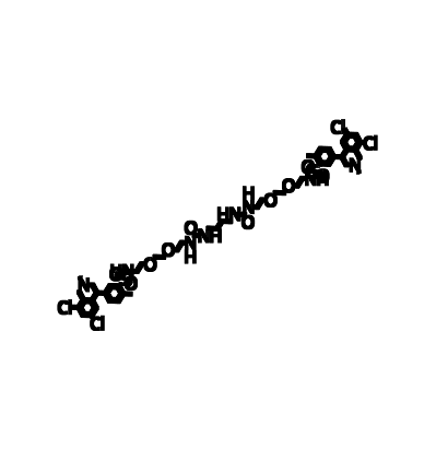 Cc1ccc(C2CN(C)Cc3c(Cl)cc(Cl)cc32)cc1S(=O)(=O)NCCOCCOCCNC(=O)NCCCCNC(=O)NCCOCCOCCNS(=O)(=O)c1cc(C2CN(C)Cc3c(Cl)cc(Cl)cc32)ccc1C